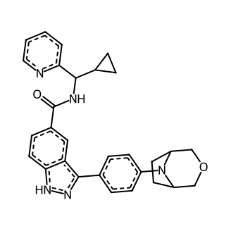 O=C(NC(c1ccccn1)C1CC1)c1ccc2[nH]nc(-c3ccc(N4C5CCC4COC5)cc3)c2c1